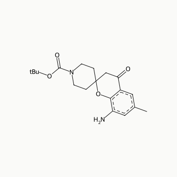 Cc1cc(N)c2c(c1)C(=O)CC1(CCN(C(=O)OC(C)(C)C)CC1)O2